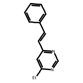 [CH2]Cc1cc(C=Cc2ccccc2)ncn1